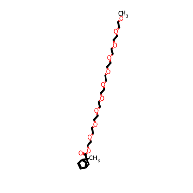 COCCOCCOCCOCCOCCOCCOCCOCCOCCOCCOC(=O)C1(C)CC2C=CC1C2